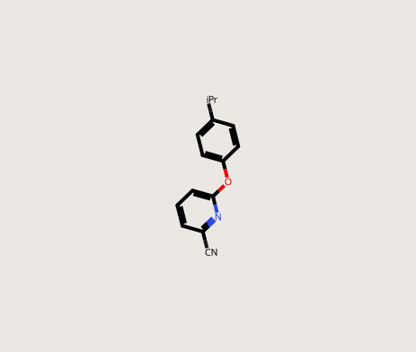 CC(C)c1ccc(Oc2cccc(C#N)n2)cc1